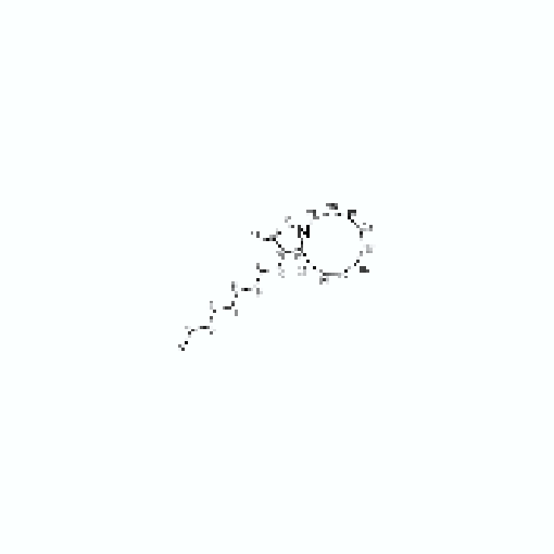 CCCCCCCCCC(CC)C1CCCCCCCCCN1C